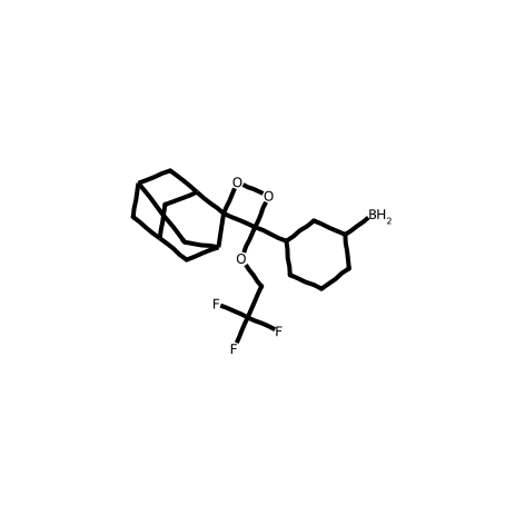 BC1CCCC(C2(OCC(F)(F)F)OOC23C2CC4CC(C2)CC3C4)C1